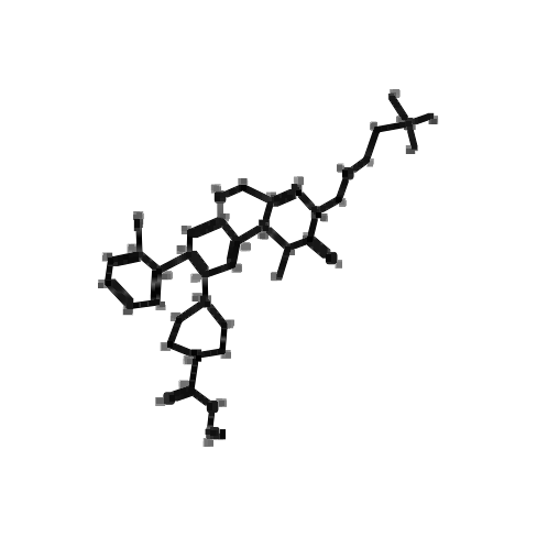 CC1C(=O)N(COCC[Si](C)(C)C)N=C2COc3cc(-c4ccccc4F)c(N4CCN(C(=O)OC(C)(C)C)CC4)cc3N21